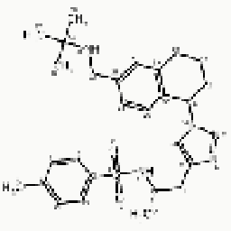 Cc1ccc(S(=O)(=O)N[C@@H](C)Cc2cn(C3CCCc4cc(CNC(C)(C)C)ccc43)nn2)cc1